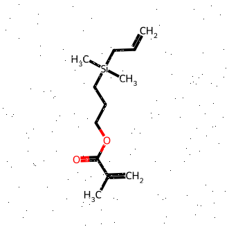 C=CC[Si](C)(C)CCCOC(=O)C(=C)C